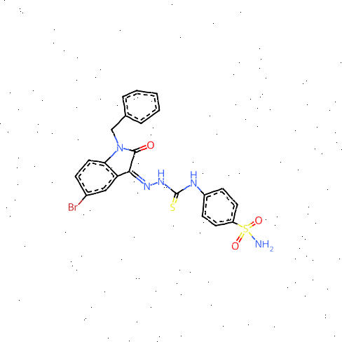 NS(=O)(=O)c1ccc(NC(=S)NN=C2C(=O)N(Cc3ccccc3)c3ccc(Br)cc32)cc1